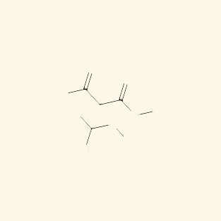 CC(C)[O][Zr].COC(=O)CC(C)=O